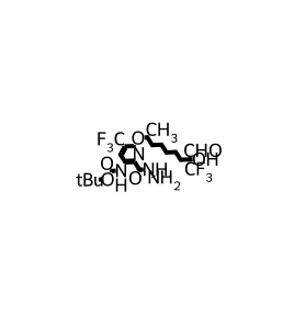 C[C@H](CCCCC[C@@](O)(C=O)C(F)(F)F)Oc1nc(C(=O)NN)c(NC(=O)OC(C)(C)C)cc1C(F)(F)F